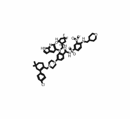 CC1(C)CCC(CN2CCN(c3ccc(C(=O)NS(=O)(=O)c4ccc(NCC5CCOCC5)c([N+](=O)[O-])c4)c(N4C[C@H]5CC(F)(F)C[C@@H]5Oc5nc6[nH]ccc6cc54)c3)CC2)=C(c2ccc(Cl)cc2)C1